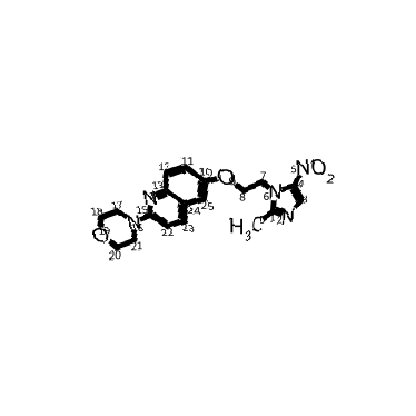 Cc1ncc([N+](=O)[O-])n1CCOc1ccc2nc(N3CCOCC3)ccc2c1